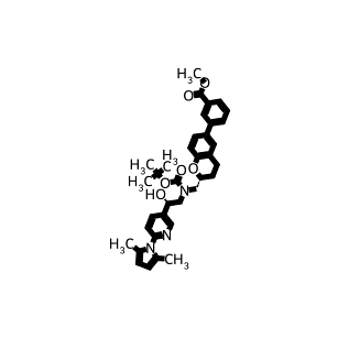 COC(=O)c1cccc(-c2ccc3c(c2)CC[C@H](CN(C[C@@H](O)c2ccc(-n4c(C)ccc4C)nc2)C(=O)OC(C)(C)C)O3)c1